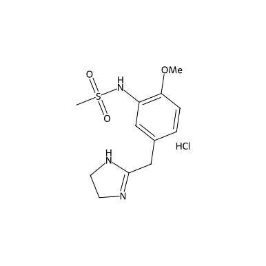 COc1ccc(CC2=NCCN2)cc1NS(C)(=O)=O.Cl